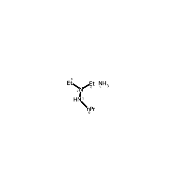 CCCNN(CC)CC.N